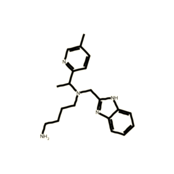 Cc1ccc(C(C)N(CCCCN)Cc2nc3ccccc3[nH]2)nc1